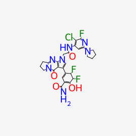 NC(=O)C1=C(O)C(F)C(F)C(c2cn(CC(=O)Nc3cc(N4CCCC4)nc(F)c3Cl)c3nc4n(c(=O)c23)CCC4)=C1